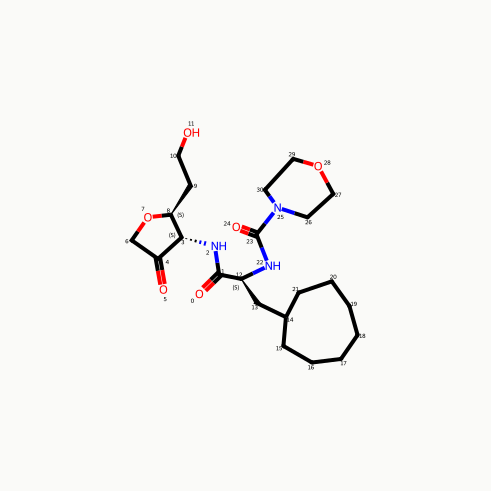 O=C(N[C@@H]1C(=O)CO[C@H]1CCO)[C@H](CC1CCCCCCC1)NC(=O)N1CCOCC1